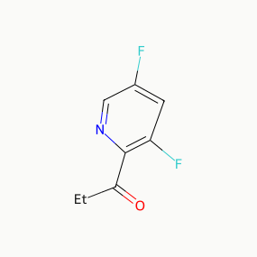 CCC(=O)c1ncc(F)cc1F